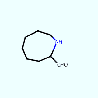 O=CC1CCCCCCN1